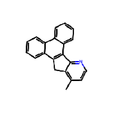 Cc1ccnc2c1Cc1c-2c2ccccc2c2ccccc12